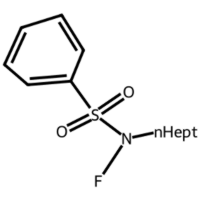 CCCCCCCN(F)S(=O)(=O)c1ccccc1